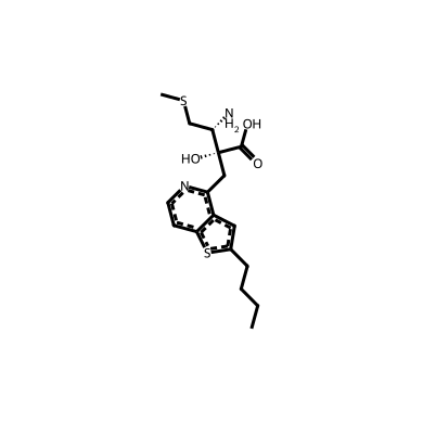 CCCCc1cc2c(C[C@](O)(C(=O)O)[C@@H](N)CSC)nccc2s1